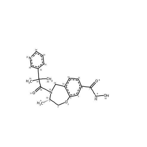 C[C@H]1COc2cc(C(=O)NO)ccc2CN1C(=O)C(C)(C)c1cccnc1